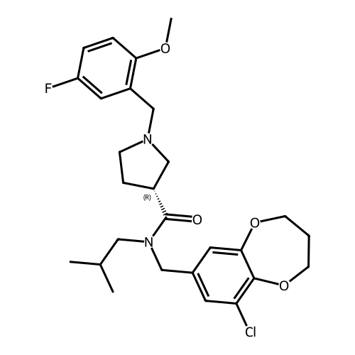 COc1ccc(F)cc1CN1CC[C@@H](C(=O)N(Cc2cc(Cl)c3c(c2)OCCCO3)CC(C)C)C1